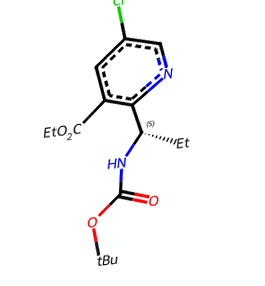 CCOC(=O)c1cc(Cl)cnc1[C@H](CC)NC(=O)OC(C)(C)C